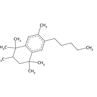 CCCCCc1cc2c(cc1C)C(C)(C)C(C)CC2(C)C